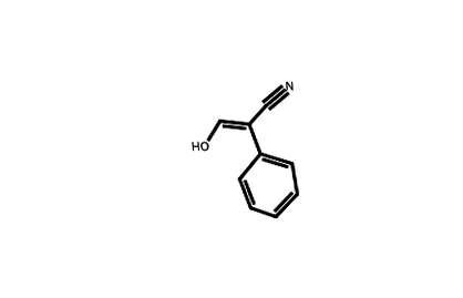 N#C/C(=C/O)c1ccccc1